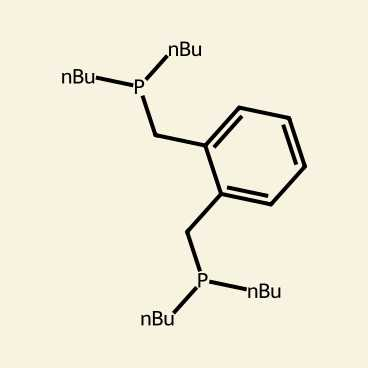 CCCCP(CCCC)Cc1ccccc1CP(CCCC)CCCC